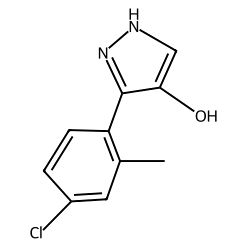 Cc1cc(Cl)ccc1-c1n[nH]cc1O